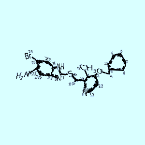 Cc1c(OCc2ccccc2)ccnc1CSc1nc2cc(N)c(Br)cc2[nH]1